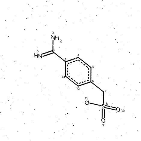 N=C(N)c1ccc(CS(=O)(=O)Cl)cc1